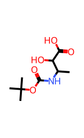 CC(NC(=O)OC(C)(C)C)C(O)C(=O)O